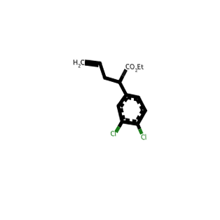 C=CCC(C(=O)OCC)c1ccc(Cl)c(Cl)c1